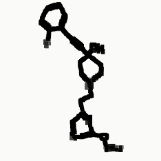 CC(C)(C)Oc1cncc(CCN2CCC(O)(C#Cc3ccccc3F)CC2)n1